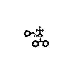 FC(F)(F)C1CN(C(c2ccccc2)c2ccccc2)C1OCc1ccccc1